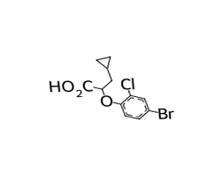 O=C(O)C(CC1CC1)Oc1ccc(Br)cc1Cl